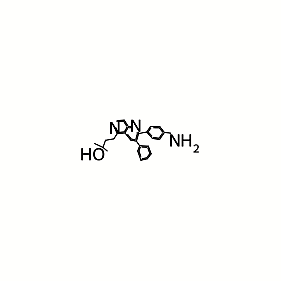 CC(C)(O)CCc1nccc2nc(-c3ccc(CN)cc3)c(-c3ccccc3)cc12